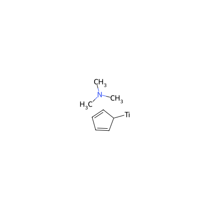 CN(C)C.[Ti][CH]1C=CC=C1